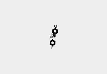 Fc1ccc([PH](=S)Cc2ccc(Cl)cc2)cc1